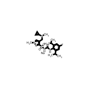 CC(C)c1cc(F)cc(C(C)C)c1NC(=O)NS(=O)(=O)c1nn(C)cc1CN(C)C1CC1.[Na]